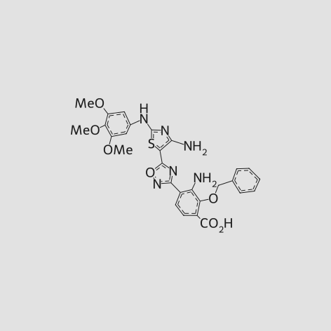 COc1cc(Nc2nc(N)c(-c3nc(-c4ccc(C(=O)O)c(OCc5ccccc5)c4N)no3)s2)cc(OC)c1OC